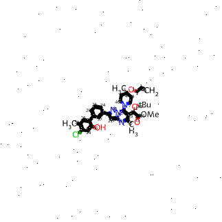 C=CCOC1(C)CCN(c2c([C@H](OC(C)(C)C)C(=O)OC)c(C)nc3cc(-c4cccc(-c5cc(C)c(Cl)cc5O)c4)nn23)CC1